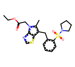 CCOC(=O)Cn1c(C)c(Cc2ccccc2S(=O)(=O)N2CCCC2)c2scnc21